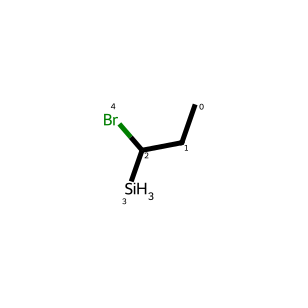 CCC([SiH3])Br